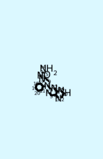 [2H]c1cnc2cnc(N(Cc3nnc(N)o3)c3ccccc3)nc2n1